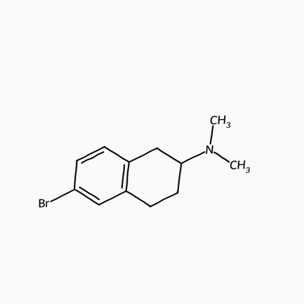 CN(C)C1CCc2cc(Br)ccc2C1